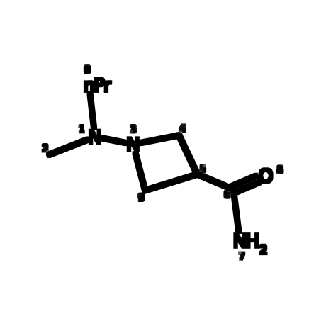 CCCN(C)N1CC(C(N)=O)C1